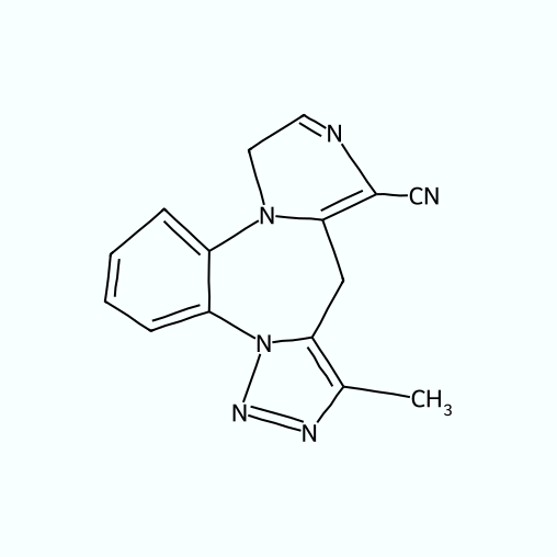 Cc1nnn2c1CC1=C(C#N)N=CCN1c1ccccc1-2